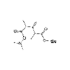 C=C(C(C)C(=O)ON(C)C)C(C)C(=O)OC(C)(C)C